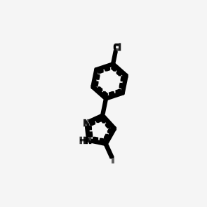 Clc1ccc(-c2cc(I)[nH]n2)cc1